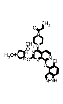 C=CC(=O)N1CCN(c2nc(O[C@@H]3CN(C)C[C@H]3OC)nc3c(Oc4c(Cl)ccc5[nH]ncc45)nccc23)CC1